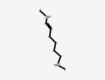 CNC=CCCCCNC